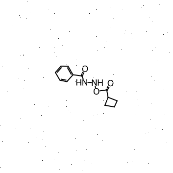 O=C(NNOC(=O)C1CCC1)c1ccccc1